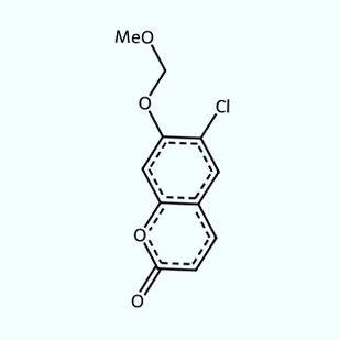 COCOc1cc2oc(=O)ccc2cc1Cl